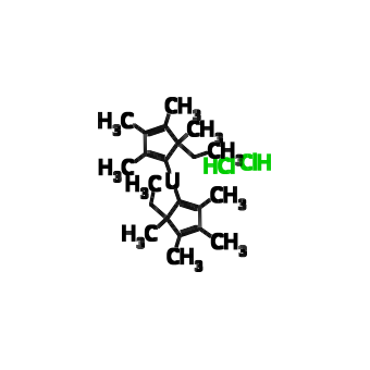 CCC1(C)C(C)=C(C)C(C)=[C]1[U][C]1=C(C)C(C)=C(C)C1(C)CC.Cl.Cl